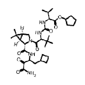 CC(C)[C@H](NC(=O)N[C@H](C(=O)N1C[C@H]2[C@@H]([C@H]1C(=O)NC(CC1CCC1)C(=O)C(N)=O)C2(C)C)C(C)(C)C)C(=O)OC1CCCC1